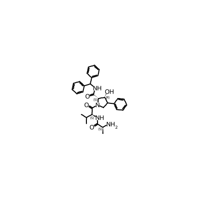 CC(C)[C@H](NC(=O)[C@H](C)N)C(=O)N1CC(c2ccccc2)[C@@H](O)[C@H]1C(=O)NC(c1ccccc1)c1ccccc1